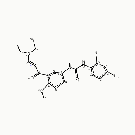 CCN(/C=C/C(=O)c1cc(NC(=O)Nc2ccc(F)cc2F)ccc1OC)CC